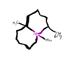 CC1CCCC2(C)CCCC[PH]12C(C)(C)C